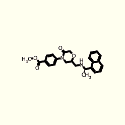 COC(=O)c1ccc(N2CC(CN[C@H](C)c3cccc4ccccc34)OCC2=O)cc1